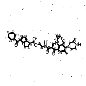 COc1c(N2CCNC(C)C2)c(F)cc2c(=O)c(C(=O)NCCOC(=O)C3CCn4c(C(=O)c5ccccc5)ccc43)cn(C3CC3)c12